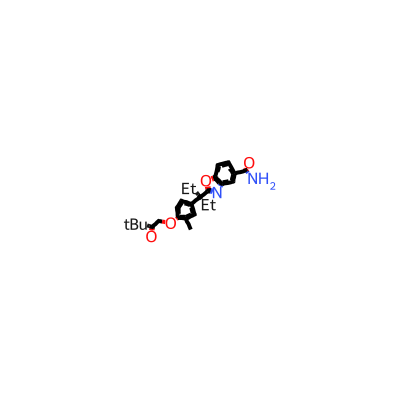 CCC(CC)(c1ccc(OCC(=O)C(C)(C)C)c(C)c1)c1nc2cc(C(N)=O)ccc2o1